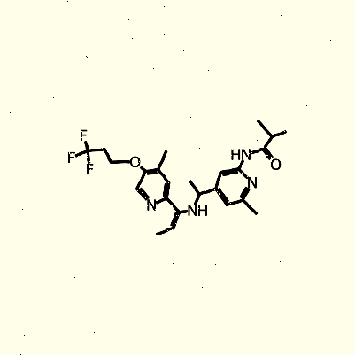 CC=C(NC(C)c1cc(C)nc(NC(=O)C(C)C)c1)c1cc(C)c(OCCC(F)(F)F)cn1